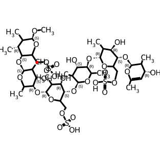 CO[C@H]1OC(COS(=O)(=O)O)[C@@H](O[C@@H]2OC(C)[C@H](O[C@H]3OC(COS(=O)(=O)O)[C@@H](O[C@@H]4OC(C)[C@H](O[C@H]5OC(COS(=O)(=O)O)[C@@H](O[C@@H]6OC(C)=C[C@@H](O)C6C)[C@H](O)C5C)[C@@H](O)C4C)[C@H](O)C3C)[C@@H](O)C2C)[C@H](C)C1C